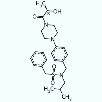 CC(C)CN(Cc1ccc(N2CCN(C(=O)[C@@H](C)O)CC2)cc1)S(=O)(=O)Cc1ccccc1